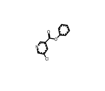 O=C(Oc1ccccc1)c1cncc(Cl)c1